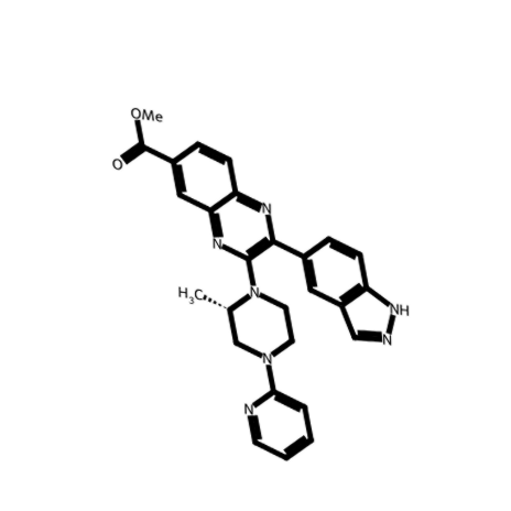 COC(=O)c1ccc2nc(-c3ccc4[nH]ncc4c3)c(N3CCN(c4ccccn4)C[C@@H]3C)nc2c1